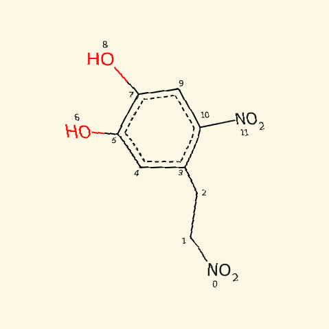 O=[N+]([O-])CCc1cc(O)c(O)cc1[N+](=O)[O-]